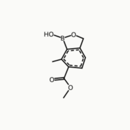 COC(=O)c1ccc2c(c1C)B(O)OC2